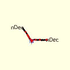 [CH2]c1nc(CCCCCCCCCCCCCCCCCCCCCCCCCCCC)cc(CCCCCCCCCCCCCCCCCCCCCCCCCCCC)n1